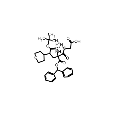 CC(C)(C)OC(=O)C(CC(N)(C(=O)OC(c1ccccc1)c1ccccc1)C(=O)[C@@H](N)CC(=O)O)C1CCCCC1